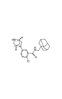 O=C(NCC12CC3CC(CC(C3)C1)C2)c1cc(N2C[C@@H]3C[C@H]2CN3)ccc1Cl